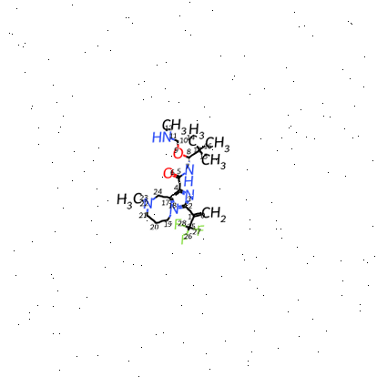 C=C(c1nc(C(=O)N[C@H](OCNC)C(C)(C)C)c2n1CCCN(C)C2)C(F)(F)F